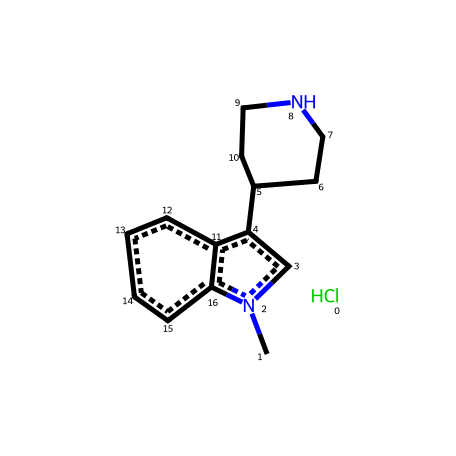 Cl.Cn1cc(C2CCNCC2)c2ccccc21